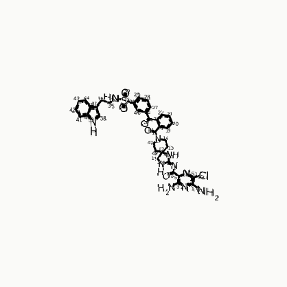 Nc1nc(N)c(C(=O)/N=C2\NCC3(CCN(C(=O)c4ccccc4C(=O)c4cccc(S(=O)(=O)NCCc5c[nH]c6ccccc56)c4)CC3)N2)nc1Cl